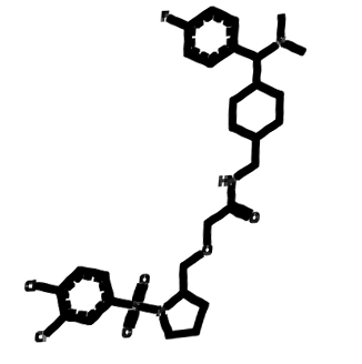 CN(C)C(c1ccc(F)cc1)C1CCC(CNC(=O)COCC2CCCN2S(=O)(=O)c2ccc(Cl)c(Cl)c2)CC1